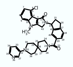 Cn1c2c(c3c(Cl)cccc31)C(=O)N(C1CCc3ccc(C(=O)N4CCC5(CC4)CCN(c4cccnc4)CC5)cc31)C2